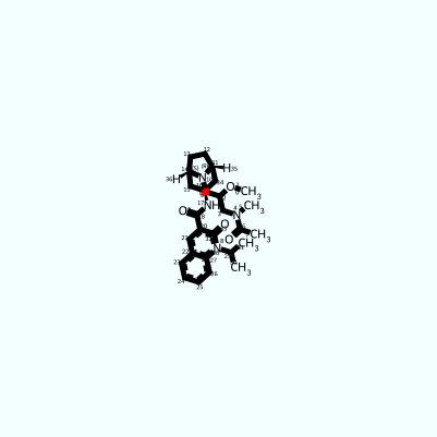 COC(CN(C)C(C)=O)CN1[C@@H]2CC[C@H]1C[C@H](NC(=O)c1cc3ccccc3n(C(C)C)c1=O)C2